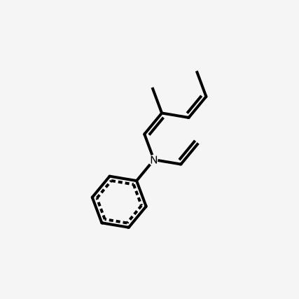 C=CN(/C=C(C)\C=C/C)c1ccccc1